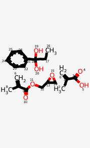 C=C(C)C(=O)O.C=C(C)C(=O)OCC1CO1.CCC(O)(O)c1ccccc1